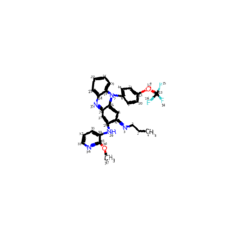 CCCN=c1cc2n(-c3ccc(OC(F)(F)F)cc3)c3ccccc3nc-2cc1Nc1cccnc1OC